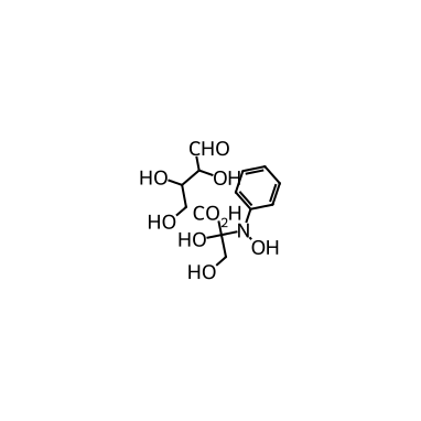 O=C(O)C(O)(CO)N(O)c1ccccc1.O=CC(O)C(O)CO